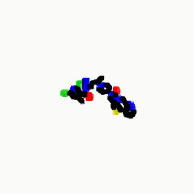 Cc1cc(Cl)nc(Cl)c1C(=O)NCCC(C)N1CCC(N(Cc2ccsc2)C(=O)NCc2ccccn2)CC1